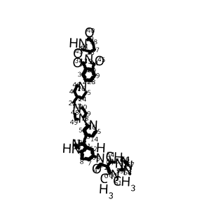 CC1=C(C(=O)Nc2ccc3[nH]nc(-c4ccnc(N5CCN(CC6CCN(c7ccc8c(c7)C(=O)N(C7CCC(=O)NC7=O)C8=O)CC6)CC5)c4)c3c2)[C@@H](C)n2nnnc2N1C